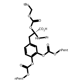 CCCCCOC(=O)Oc1ccc(C[C@](NC(C)C)(OC(=O)OCC(C)(C)C)C(=O)O)cc1OC(=O)OCCCCC